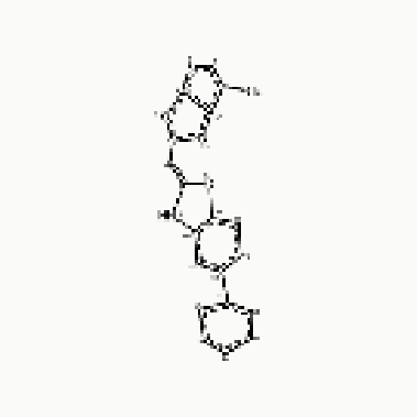 Clc1csc2oc(/C=C3/Nc4cc(-c5ccccc5)ccc4O3)nc12